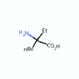 CCCCC(N)(CC)C(=O)O